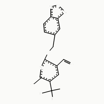 O=Cc1cc(C(F)(F)F)c(Cl)nc1OCc1ccc2nonc2c1